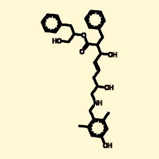 Cc1cc(O)cc(C)c1CNCC(O)CC=CC(O)C(Cc1ccccc1)C(=O)OC(CO)Cc1ccccc1